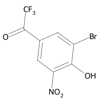 O=C(c1cc(Br)c(O)c([N+](=O)[O-])c1)C(F)(F)F